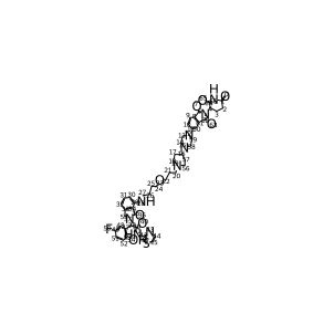 O=C1CCC(N2C(=O)c3ccc(N4CCN(C5CCN(CCCOCCCCNc6cccc7c6C(=O)N(C(C(=O)Nc6nccs6)c6cc(F)ccc6O)C7)CC5)CC4)cc3C2=O)C(=O)N1